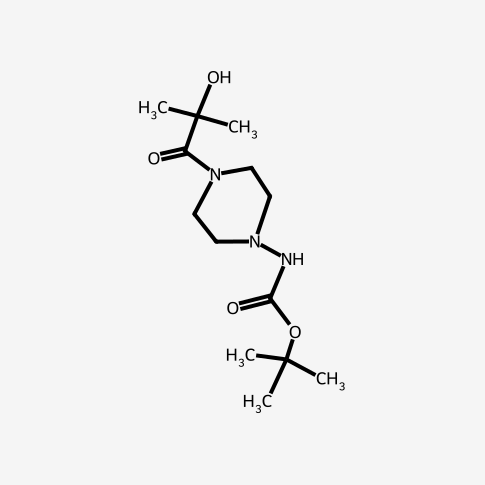 CC(C)(C)OC(=O)NN1CCN(C(=O)C(C)(C)O)CC1